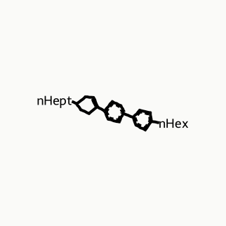 CCCCCCCC1CC=C(c2ccc(-c3ccc(CCCCCC)cc3)cc2)CC1